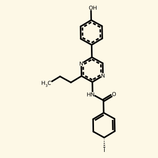 CCCc1nc(-c2ccc(O)cc2)cnc1NC(=O)C1=CC[C@@H](I)C=C1